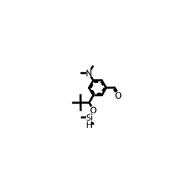 CN(C)c1cc(C=O)cc(C(O[SiH](C)C)C(C)(C)C)c1